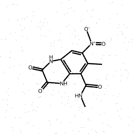 CNC(=O)c1c(C)c([N+](=O)[O-])cc2[nH]c(=O)c(=O)[nH]c12